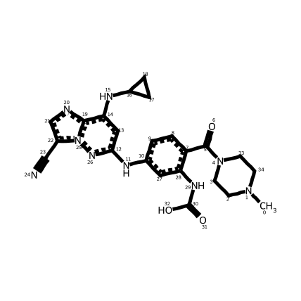 CN1CCN(C(=O)c2ccc(Nc3cc(NC4CC4)c4ncc(C#N)n4n3)cc2NC(=O)O)CC1